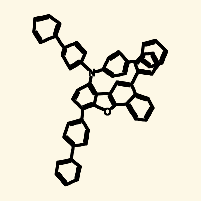 c1ccc(-c2ccc(-c3ccc(N(c4ccc(-c5ccccc5)cc4)c4ccc(-c5ccccc5)cc4)c4c3oc3c5ccccc5c(-c5ccccc5)cc34)cc2)cc1